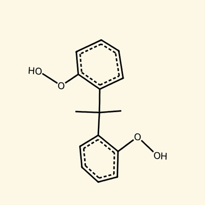 CC(C)(c1ccccc1OO)c1ccccc1OO